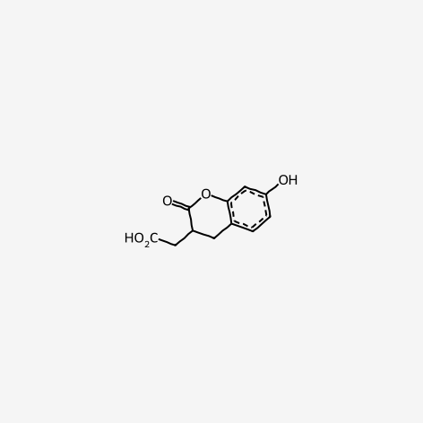 O=C(O)CC1Cc2ccc(O)cc2OC1=O